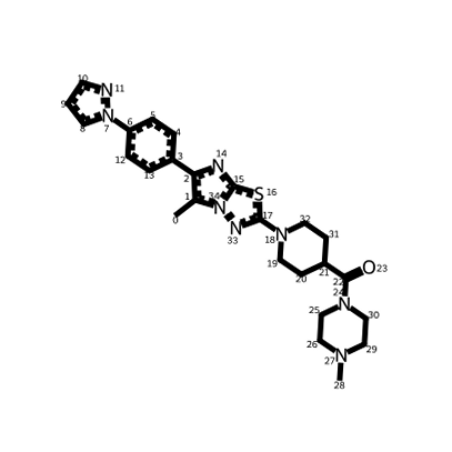 Cc1c(-c2ccc(-n3cccn3)cc2)nc2sc(N3CCC(C(=O)N4CCN(C)CC4)CC3)nn12